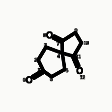 O=C1CCC2(CC1)C(=O)CCC2=O